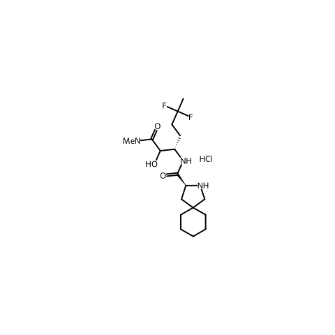 CNC(=O)C(O)[C@H](CCC(C)(F)F)NC(=O)[C@@H]1CC2(CCCCC2)CN1.Cl